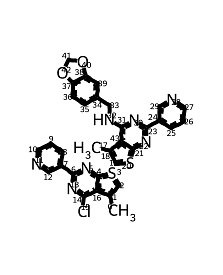 Cc1csc2nc(-c3cccnc3)nc(Cl)c12.Cc1csc2nc(-c3cccnc3)nc(NCc3ccc4c(c3)OCO4)c12